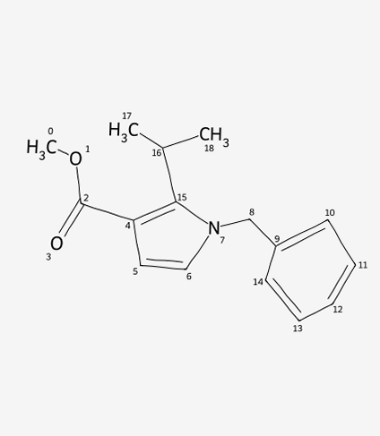 COC(=O)c1ccn(Cc2ccccc2)c1C(C)C